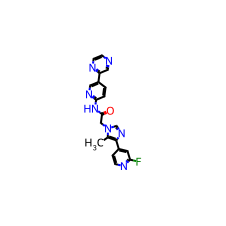 Cc1c(-c2ccnc(F)c2)ncn1CC(=O)Nc1ccc(-c2cnccn2)cn1